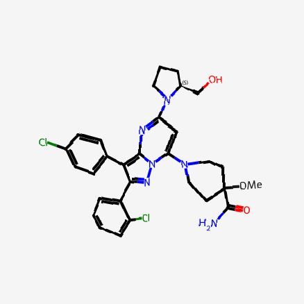 COC1(C(N)=O)CCN(c2cc(N3CCC[C@H]3CO)nc3c(-c4ccc(Cl)cc4)c(-c4ccccc4Cl)nn23)CC1